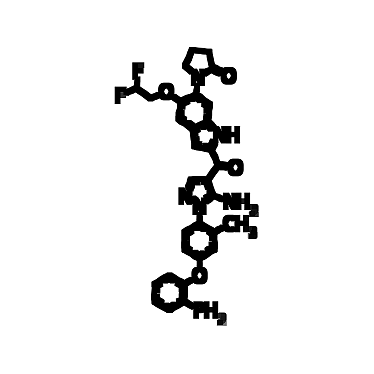 Cc1cc(Oc2ccccc2P)ccc1-n1ncc(C(=O)c2cc3cc(OCC(F)F)c(N4CCCC4=O)cc3[nH]2)c1N